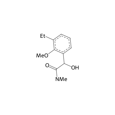 CCc1cccc(C(O)C(=O)NC)c1OC